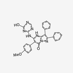 COc1ccc(-c2c(Nc3ncnc(O)n3)[nH]c3c(-c4ccccc4)c(-c4ccccc4)nn3c2=O)cc1